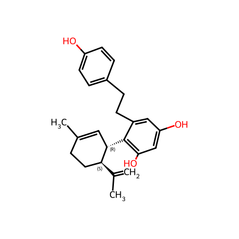 C=C(C)[C@H]1CCC(C)=C[C@@H]1c1c(O)cc(O)cc1CCc1ccc(O)cc1